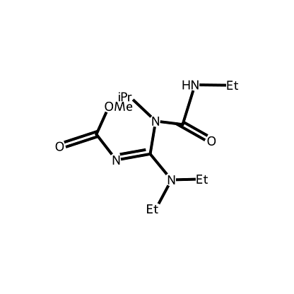 CCNC(=O)N(/C(=N\C(=O)OC)N(CC)CC)C(C)C